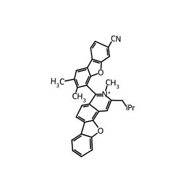 Cc1cc2c(oc3cc(C#N)ccc32)c(-c2c3ccc4c5ccccc5oc4c3cc(CC(C)C)[n+]2C)c1C